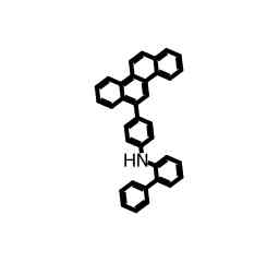 c1ccc(-c2ccccc2Nc2ccc(-c3cc4c5ccccc5ccc4c4ccccc34)cc2)cc1